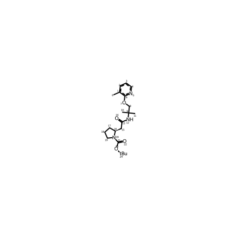 Cc1cccnc1OCC(C)(C)NC(=O)C[C@@H]1CCCN1C(=O)OC(C)(C)C